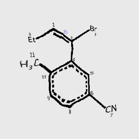 CC/C=C(/Br)c1cc(C#N)ccc1C